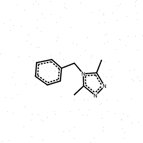 Cc1nnc(C)n1Cc1ccccc1